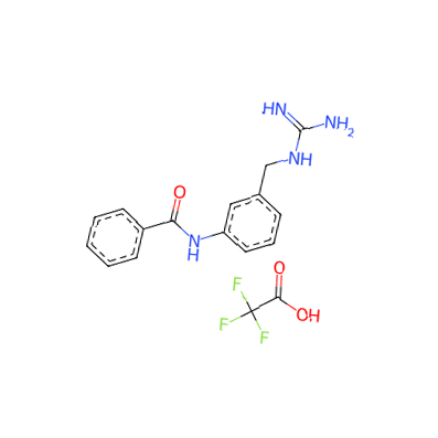 N=C(N)NCc1cccc(NC(=O)c2ccccc2)c1.O=C(O)C(F)(F)F